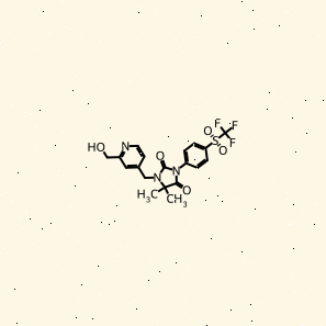 CC1(C)C(=O)N(c2ccc(S(=O)(=O)C(F)(F)F)cc2)C(=O)N1Cc1ccnc(CO)c1